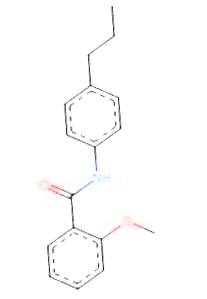 CCCc1ccc(NC(=O)c2ccccc2OC)cc1